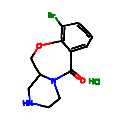 Cl.O=C1c2cccc(Br)c2OCC2CNCCN12